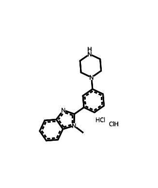 Cl.Cl.Cn1c(-c2cccc(N3CCNCC3)c2)nc2ccccc21